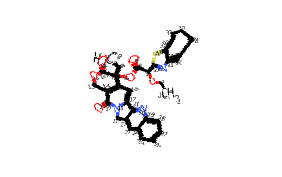 CCOC(C(=O)OC1(CC)C(=O)OCc2c1cc1n(c2=O)Cc2cc3ccccc3nc2-1)c1nc2ccccc2s1